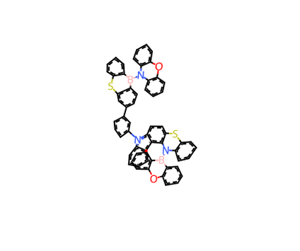 c1cc(-c2ccc3c(c2)Sc2ccccc2B3N2c3ccccc3Oc3ccccc32)cc(-n2c3ccccc3c3c4c(ccc32)Sc2ccccc2N4B2c3ccccc3Oc3ccccc32)c1